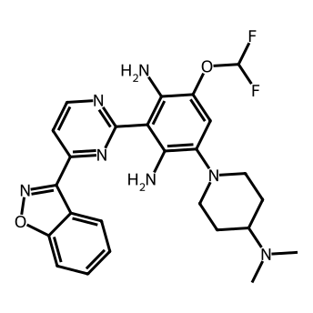 CN(C)C1CCN(c2cc(OC(F)F)c(N)c(-c3nccc(-c4noc5ccccc45)n3)c2N)CC1